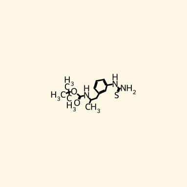 CC(Cc1cccc(NC(N)=S)c1)NC(=O)OC(C)(C)C